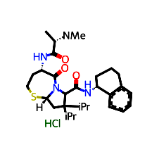 CN[C@@H](C)C(=O)N[C@H]1CCS[C@H]2CC(C(C)C)(C(C)C)C(C(=O)N[C@@H]3CCCc4ccccc43)N2C1=O.Cl